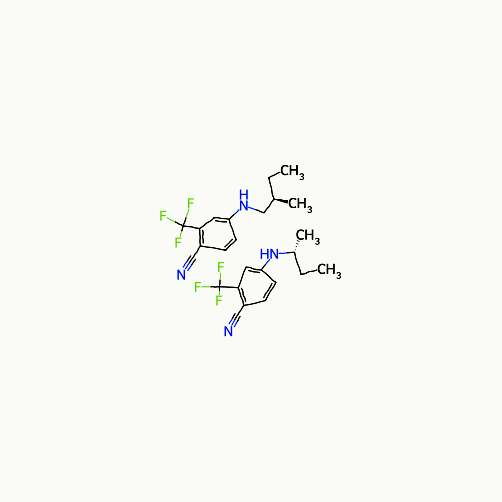 CC[C@@H](C)CNc1ccc(C#N)c(C(F)(F)F)c1.CC[C@@H](C)Nc1ccc(C#N)c(C(F)(F)F)c1